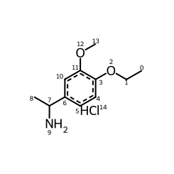 CCOc1ccc(C(C)N)cc1OC.Cl